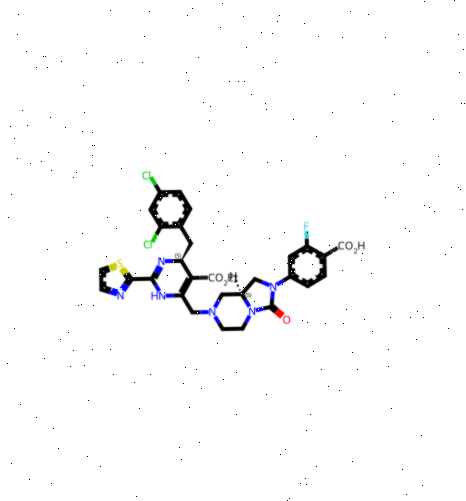 CCOC(=O)C1=C(CN2CCN3C(=O)N(c4ccc(C(=O)O)c(F)c4)C[C@@H]3C2)NC(c2nccs2)=N[C@H]1Cc1ccc(Cl)cc1Cl